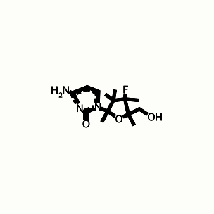 CC1(CO)OC(C)(n2ccc(N)nc2=O)C(C)(C)C1(C)F